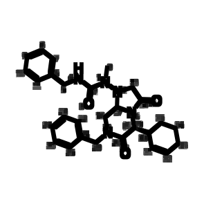 CN(C(=O)NCc1ccccc1)N1CC(=O)N2C1CN(Cc1ccccc1)C(=O)[C@@H]2C1C=CCCC1